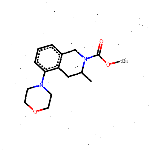 CC1Cc2c(cccc2N2CCOCC2)CN1C(=O)OC(C)(C)C